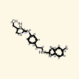 CCC1CS/C(=N\c2ccc(CCNc3nc4ccc(F)cc4s3)cc2)N1